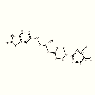 O=C1Cc2cc(OC[C@H](O)CN3CCN(c4ccc(Cl)c(Cl)c4)CC3)ccc2N1